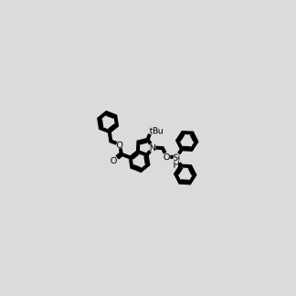 CC(C)(C)c1cc2c(C(=O)OCc3ccccc3)cccc2n1CO[SiH](c1ccccc1)c1ccccc1